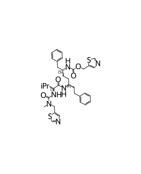 CC(C)[C@H](NC(=O)N(C)Cc1cncs1)C(=O)N[C@H](CCc1ccccc1)CC[C@@H](Cc1ccccc1)NC(=O)OCc1cncs1